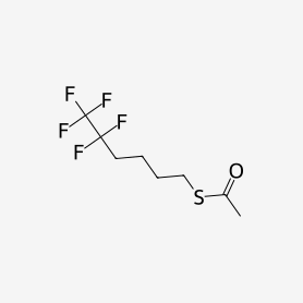 CC(=O)SCCCCC(F)(F)C(F)(F)F